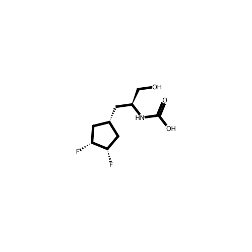 O=C(O)N[C@H](CO)C[C@H]1C[C@@H](F)[C@@H](F)C1